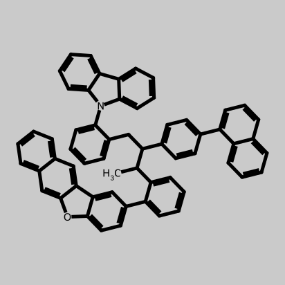 CC(c1ccccc1-c1ccc2oc3cc4ccccc4cc3c2c1)C(Cc1ccccc1-n1c2ccccc2c2ccccc21)c1ccc(-c2cccc3ccccc23)cc1